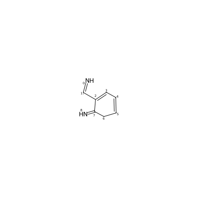 N=[C]C1=CC=CCC1=N